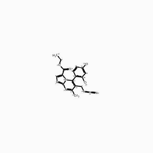 CCOC(=O)c1cnc2nc(C)c(CN=[N+]=[N-])c(-c3ccc(Cl)cc3Cl)n12